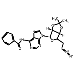 CC1(C)O[C@@H]2[C@H](O1)C(CN=[N+]=[N-])O[C@H]2n1cnc2c(NC(=O)c3ccccc3)ncnc21